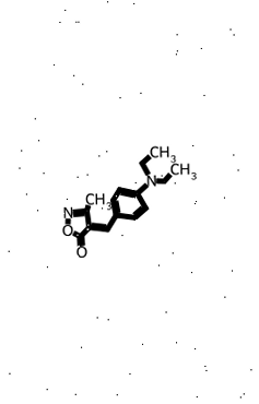 CCN(CC)c1ccc(C=C2C(=O)ON=C2C)cc1